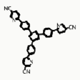 N#Cc1ccc(-c2ccc(-c3cc(-c4ccc(-c5ccc(C#N)cn5)cc4)cc(-c4ccc(-c5ccc(C#N)cn5)cc4)c3)cc2)nc1